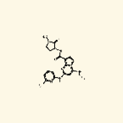 CNc1cc(Nc2cccc(C)n2)nc2c(C(=O)N[C@H]3CCN(C)C3=O)cnn12